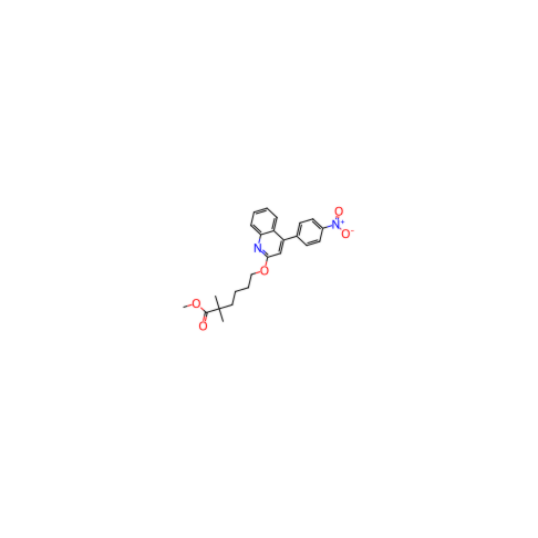 COC(=O)C(C)(C)CCCCOc1cc(-c2ccc([N+](=O)[O-])cc2)c2ccccc2n1